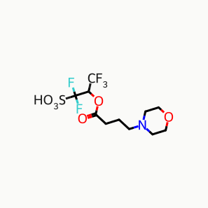 O=C(CCCN1CCOCC1)OC(C(F)(F)F)C(F)(F)S(=O)(=O)O